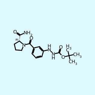 CC(C)(C)OC(=O)NNc1cccc(C(=O)N2CCC[C@@H]2C(N)=O)c1